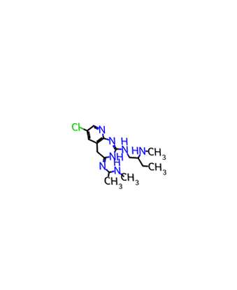 CCC(CNC1=Nc2ncc(Cl)cc2C/C(=N/C(C)NC)N1)NC